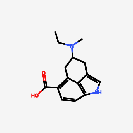 CCN(C)C1Cc2c[nH]c3ccc(C(=O)O)c(c23)C1